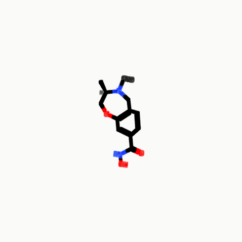 C[C@@H]1COc2cc(C(=O)NO)ccc2CN1C=O